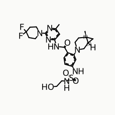 Cc1cc(NC(=O)c2ccc(NS(=O)(=O)NCCO)cc2N2CC[C@]3(C)C[C@@H]3C2)nc(N2CCC(F)(F)CC2)n1